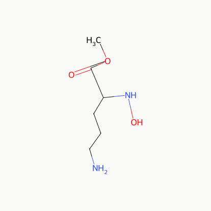 COC(=O)C(CCCN)NO